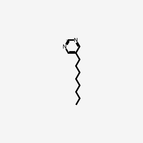 CCCCCCCCc1cn[c]nc1